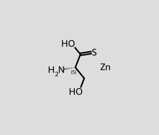 N[C@@H](CO)C(O)=S.[Zn]